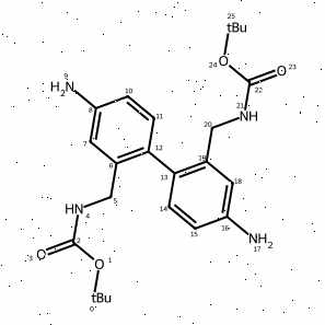 CC(C)(C)OC(=O)NCc1cc(N)ccc1-c1ccc(N)cc1CNC(=O)OC(C)(C)C